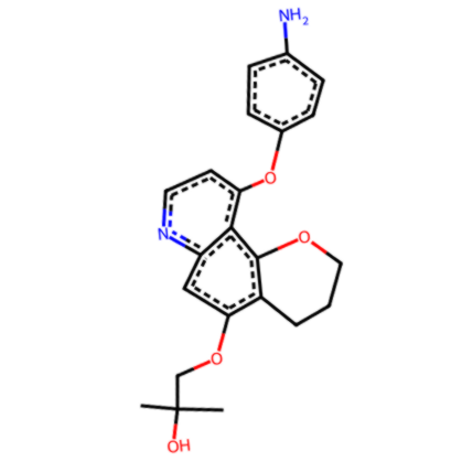 CC(C)(O)COc1cc2nccc(Oc3ccc(N)cc3)c2c2c1CCCO2